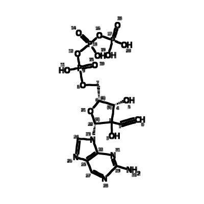 C#CC1(O)[C@@H](O)[C@@H](COP(=O)(O)OP(=O)(O)OP(=O)(O)O)O[C@H]1n1cnc2cnc(N)nc21